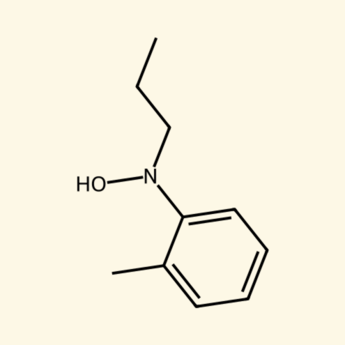 CCCN(O)c1ccccc1C